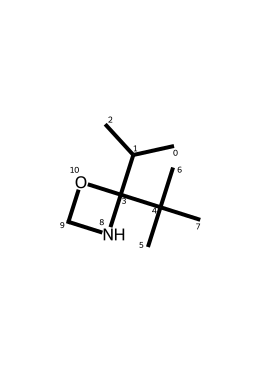 CC(C)C1(C(C)(C)C)NCO1